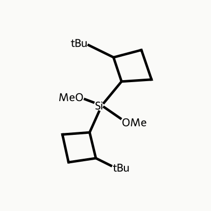 CO[Si](OC)(C1CCC1C(C)(C)C)C1CCC1C(C)(C)C